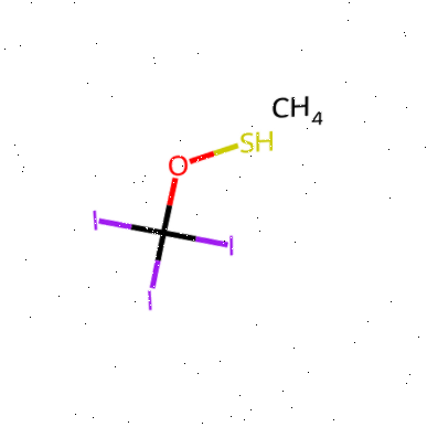 C.SOC(I)(I)I